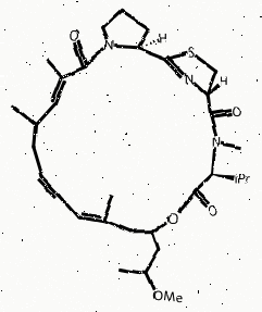 COC(C)CC1C/C(C)=C/C=C/CC(C)/C=C(\C)C(=O)N2CCC[C@H]2C2=N[C@H](CS2)C(=O)N(C)[C@@H](C(C)C)C(=O)O1